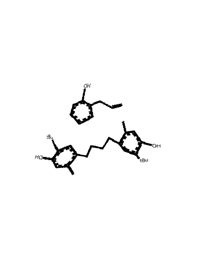 C=CCc1ccccc1O.Cc1cc(O)c(C(C)(C)C)cc1CCCCc1cc(C(C)(C)C)c(O)cc1C